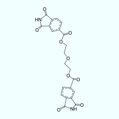 O=C(OCCOCCOC(=O)c1ccc2c(c1)C(=O)NC2=O)c1ccc2c(c1)C(=O)NC2=O